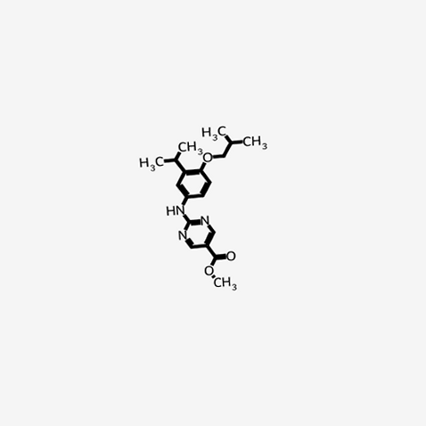 COC(=O)c1cnc(Nc2ccc(OCC(C)C)c(C(C)C)c2)nc1